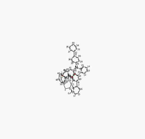 CC[C@H]1CC2C[C@@H](C)C[C@H](C2)[C@@]12c1ccccc1-c1cc(-c3ccccc3N(c3ccc(-c4ccccc4)cc3)c3ccc4c(c3)sc3ccccc34)ccc12